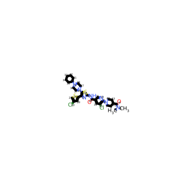 CN(C)C(=O)C1CCN(c2ncc(C(=O)Nc3nc(-c4cc(Cl)cs4)c(N4CCN(C5CCCCC5)CC4)s3)cc2Cl)CC1